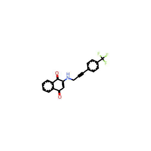 O=C1C=C(NCC#Cc2ccc(C(F)(F)F)cc2)C(=O)c2ccccc21